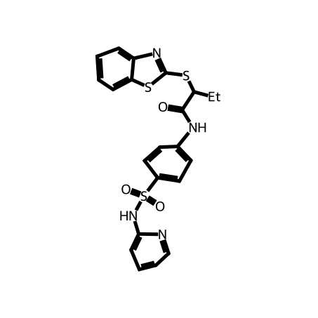 CCC(Sc1nc2ccccc2s1)C(=O)Nc1ccc(S(=O)(=O)Nc2ccccn2)cc1